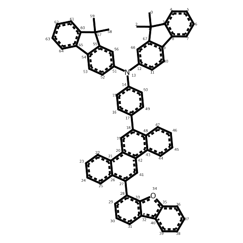 CC1(C)c2ccccc2-c2ccc(N(c3ccc(-c4cc5c6ccccc6c(-c6cccc7c6oc6ccccc67)cc5c5ccccc45)cc3)c3ccc4c(c3)C(C)(C)c3ccccc3-4)cc21